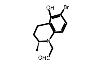 C[C@H]1CCc2c(ccc(Br)c2O)N1CC=O